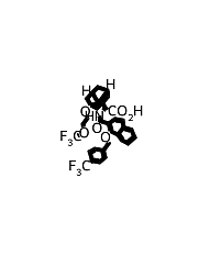 O=C(N[C@H](C(=O)O)C12C[C@@H]3C[C@@H](CC(OCCOC(F)(F)F)(C3)C1)C2)c1ccc2ccccc2c1OCc1ccc(C(F)(F)F)cc1